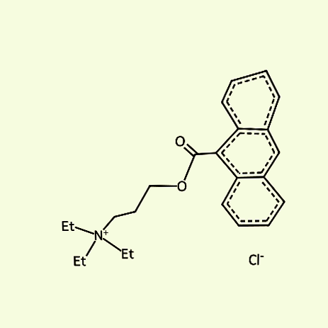 CC[N+](CC)(CC)CCCOC(=O)c1c2ccccc2cc2ccccc12.[Cl-]